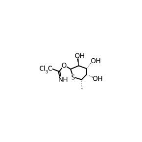 C[C@@H]1SC(OC(=N)C(Cl)(Cl)Cl)[C@@H](O)[C@H](O)[C@@H]1O